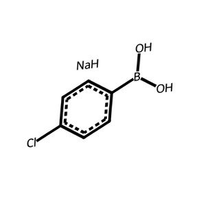 OB(O)c1ccc(Cl)cc1.[NaH]